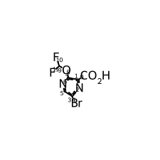 O=C(O)c1nc(Br)cnc1OC(F)F